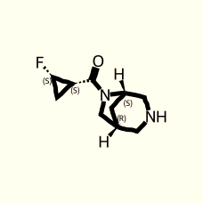 O=C([C@@H]1C[C@@H]1F)N1C[C@H]2CNC[C@@H]1C2